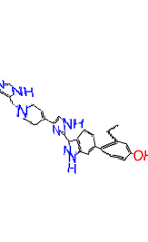 CCc1cc(O)ccc1-c1ccc2c(-c3nc(C4=CCN(Cc5cnc[nH]5)CC4)c[nH]3)n[nH]c2c1